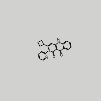 O=c1c2ccccc2[nH]c2cc(C3CCC3)n(-c3ccccn3)c(=O)c12